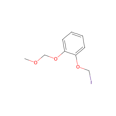 COCOc1ccccc1OCI